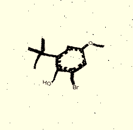 COc1cc(Br)c(O)c(C(C)(C)C)c1